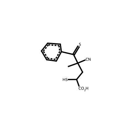 CC(C#N)(CC(S)C(=O)O)C(=S)c1ccccc1